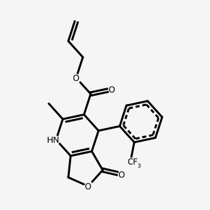 C=CCOC(=O)C1=C(C)NC2=C(C(=O)OC2)C1c1ccccc1C(F)(F)F